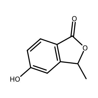 CC1OC(=O)c2ccc(O)cc21